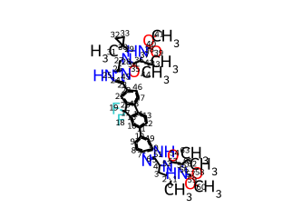 CC[C@@H]1CC(c2nc3ccc(-c4ccc5c(c4)C(F)(F)c4cc(-c6c[nH]c(CN(CC7(C)CC7)C(=O)C(NC(=O)OC)C(C)C)n6)ccc4-5)cc3[nH]2)N1C(=O)C(NC(=O)OC)C(C)C